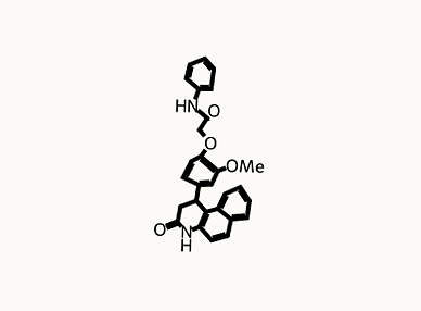 COc1cc(C2CC(=O)Nc3ccc4ccccc4c32)ccc1OCC(=O)Nc1ccccc1